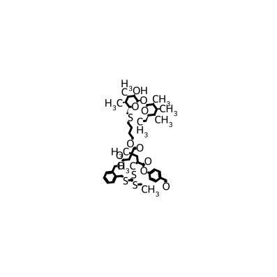 CCSC(=S)SCc1ccccc1COC(=O)CC(C)(CC(C)C(=O)Oc1ccc(C=O)cc1)C(=O)OCCCCSC[C@H]1O[C@H](O[C@H]2O[C@H](CC)[C@@H](C)[C@H](C)[C@H]2C)[C@H](O)[C@@H](C)[C@@H]1C